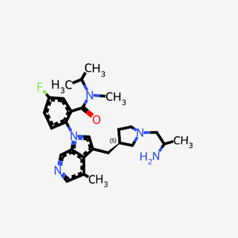 Cc1cncc2c1c(C[C@H]1CCN(CC(C)N)C1)cn2-c1ccc(F)cc1C(=O)N(C)C(C)C